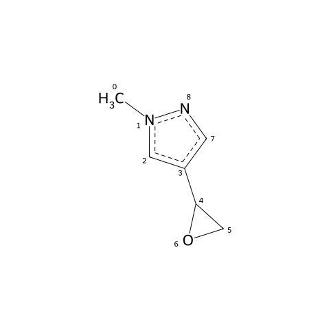 Cn1cc(C2CO2)cn1